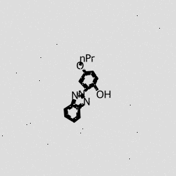 CCCOc1ccc(O)c(-n2nc3ccccc3n2)c1